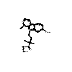 CCCC(C)NC(=O)C(C)(C)CCn1c2cc(OC)ccc2c2ccnc(C)c21